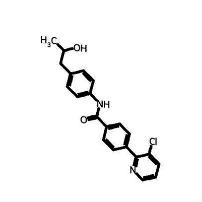 CC(O)Cc1ccc(NC(=O)c2ccc(-c3ncccc3Cl)cc2)cc1